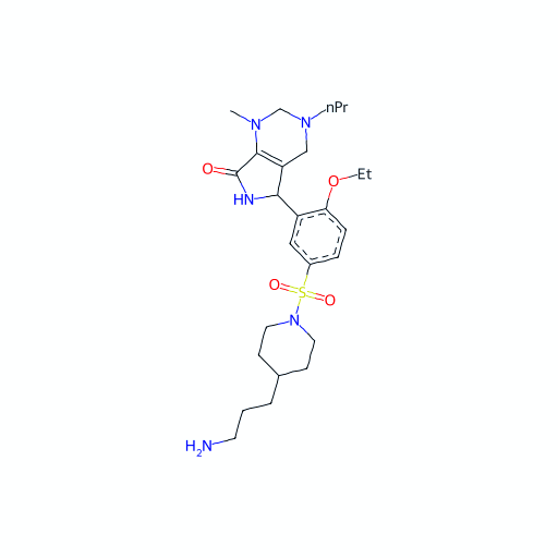 CCCN1CC2=C(C(=O)NC2c2cc(S(=O)(=O)N3CCC(CCCN)CC3)ccc2OCC)N(C)C1